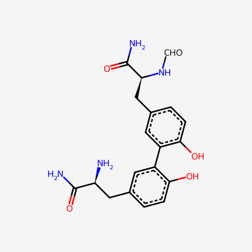 NC(=O)[C@H](Cc1ccc(O)c(-c2cc(C[C@H](N)C(N)=O)ccc2O)c1)NC=O